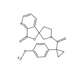 O=C1OC2(CCN(C(=O)C3(c4ccc(OC(F)(F)F)cc4)CC3)C2)c2cccnc21